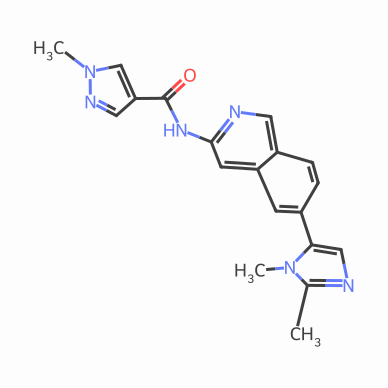 Cc1ncc(-c2ccc3cnc(NC(=O)c4cnn(C)c4)cc3c2)n1C